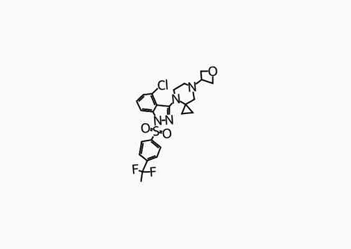 CC(F)(F)c1ccc(S(=O)(=O)n2nc(N3CCN(C4COC4)CC34CC4)c3c(Cl)cccc32)cc1